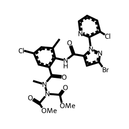 COC(=O)N(C(=O)OC)N(C)C(=O)c1cc(Cl)cc(C)c1NC(=O)c1cc(Br)nn1-c1ncccc1Cl